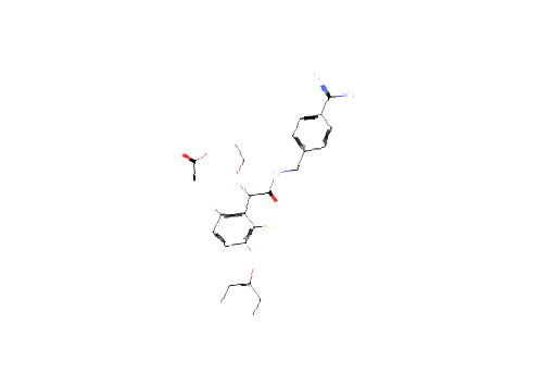 CC(=O)O.CCOC(C(=O)NCc1ccc(C(=N)N)cc1)c1c(F)ccc(OC(CC)CC)c1F